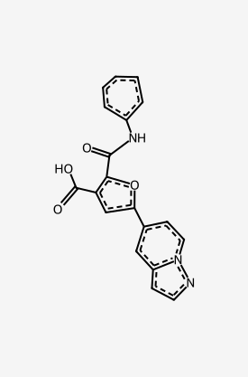 O=C(O)c1cc(-c2ccn3nccc3c2)oc1C(=O)Nc1ccccc1